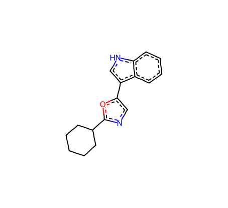 c1ccc2c(-c3cnc(C4CCCCC4)o3)c[nH]c2c1